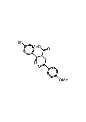 COC(=O)C(CC(=O)c1ccc(OC)cc1)C(=O)c1ccc(Br)cc1